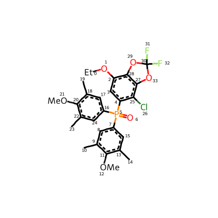 CCOc1cc(P(=O)(c2cc(C)c(OC)c(C)c2)c2cc(C)c(OC)c(C)c2)c(Cl)c2c1OC(F)(F)O2